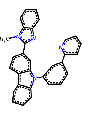 Cn1c(-c2ccc3c4ccccc4n(-c4cccc(-c5ccccn5)c4)c3c2)nc2ccccc21